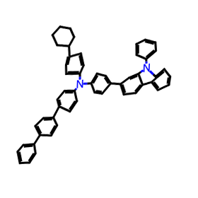 c1ccc(-c2ccc(-c3ccc(N(c4ccc(-c5ccc6c7ccccc7n(-c7ccccc7)c6c5)cc4)c4ccc(C5CCCCC5)cc4)cc3)cc2)cc1